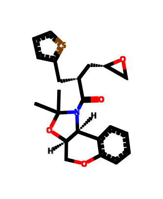 CC1(C)O[C@@H]2COc3ccccc3[C@@H]2N1C(=O)[C@H](Cc1cccs1)C[C@H]1CO1